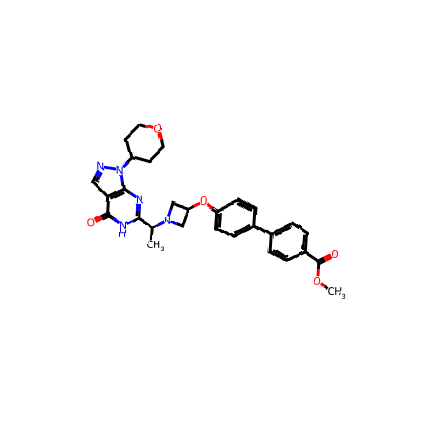 COC(=O)c1ccc(-c2ccc(OC3CN(C(C)c4nc5c(cnn5C5CCOCC5)c(=O)[nH]4)C3)cc2)cc1